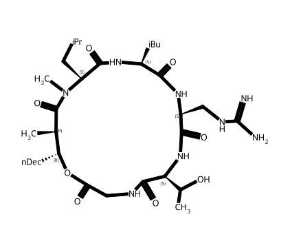 CCCCCCCCCC[C@H]1OC(=O)CNC(=O)[C@H](C(C)O)NC(=O)[C@H](CNC(=N)N)NC(=O)[C@H](C(C)CC)NC(=O)[C@H](CC(C)C)N(C)C(=O)[C@@H]1C